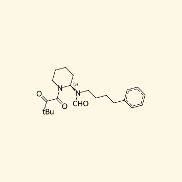 CC(C)(C)C(=O)C(=O)N1CCCC[C@H]1N(C=O)CCCCc1ccccc1